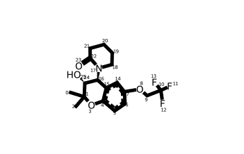 CC1(C)Oc2ccc(OCC(F)(F)F)cc2[C@H](N2CCCCC2=O)[C@H]1O